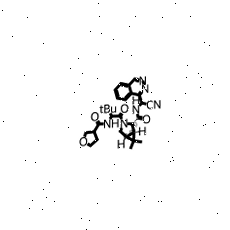 CC(C)(C)C(NC(=O)C1CCOC1)C(=O)N1C[C@H]2[C@@H]([C@H]1C(=O)NC(C#N)c1nncc3ccccc13)C2(C)C